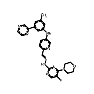 Cc1cc(Nc2ccc(/C=N/Nc3ncc(F)c(N4CCOCC4)n3)nc2)cc(-c2cnccn2)c1